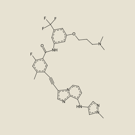 Cc1cc(F)c(C(=O)Nc2cc(OCCCN(C)C)cc(C(F)(F)F)c2)cc1C#Cc1cnc2c(Nc3cnn(C)c3)cccn12